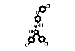 O=C(Nc1ccc(Oc2ccc(Cl)cc2)cc1)N1CC(c2ccc(Cl)cc2)=C(c2ccc(Cl)cc2)N1